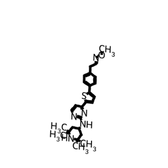 CON=CCc1ccc(-c2ccc(-c3ccnc(NC4CC(C)(C)NC(C)(C)C4)n3)s2)cc1